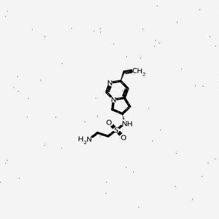 C=C[C@H]1C=C2C[C@H](NS(=O)(=O)CCN)CN2C=N1